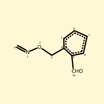 C=NOCc1ccccc1C=O